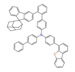 c1ccc(-c2ccc(N(c3ccc(-c4ccccc4-c4ccc5c(c4)-c4ccccc4C54C5CC6CC(C5)CC4C6)cc3)c3ccc(-c4cccc5c4sc4ccccc45)cc3)cc2)cc1